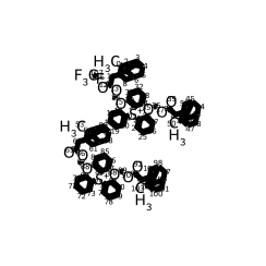 CC1C2CC3CC(C2)CC1(CC(=O)OCOc1ccccc1[S+](c1ccccc1)c1ccccc1OCOC(=O)CC12CC4CC(CC(C4)C1C)C2)C3.CC1C2CC3CC(C2)CC1(CC(=O)OCOc1ccccc1[S+](c1ccccc1)c1ccccc1OCOC(=O)CC12CC4CC(CC(C4)C1C)C2)C3.FC(F)(F)F